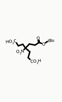 CC(C)(C)OC(=O)CCC(CCC(=O)O)(CCC(=O)O)[N+](=O)[O-]